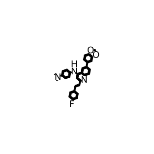 CN(C)c1ccc(Nc2cc(/C=C/c3ccc(F)cc3)nc3ccc(-c4ccc5c(c4)OCO5)cc23)cc1